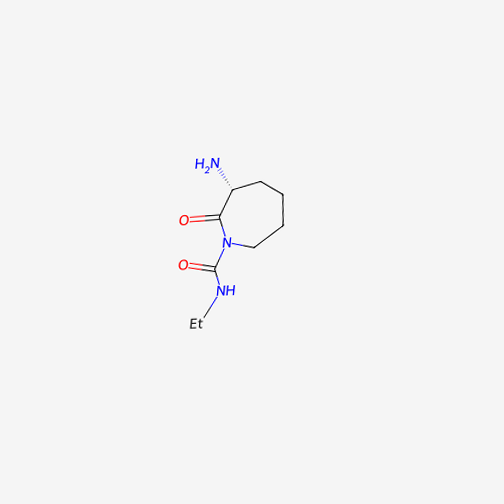 CCNC(=O)N1CCCC[C@@H](N)C1=O